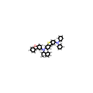 c1ccc(N(c2ccccc2)c2ccc3sc4cc(N(c5ccc6oc7ccccc7c6c5)c5cccc6ccccc56)ccc4c3c2)cc1